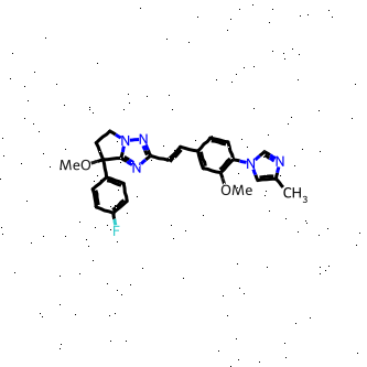 COc1cc(/C=C/c2nc3n(n2)CCC3(OC)c2ccc(F)cc2)ccc1-n1cnc(C)c1